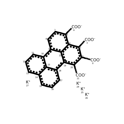 O=C([O-])c1c(C(=O)[O-])c2c(C(=O)[O-])ccc3c4cccc5cccc(c(c1C(=O)[O-])c23)c54.[K+].[K+].[K+].[K+]